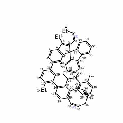 CC/C=C\C1=C(CC)c2ccc(-c3ccc(CC)c(-c4ccc5c(c4C(C)N(C)c4ccccc4C)CC#CC/C=C\5)c3)cc2C12c1ccccc1-c1ccccc12